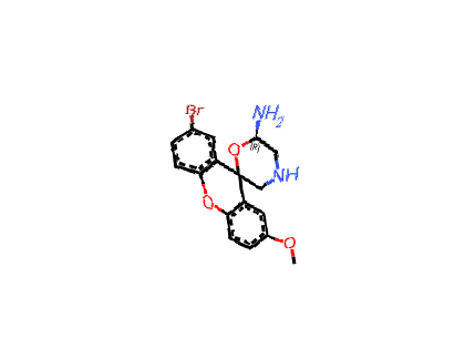 COc1ccc2c(c1)C1(CNC[C@H](N)O1)c1cc(Br)ccc1O2